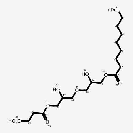 CCCCCCCCCCCCCCCCCC(=O)OCC(O)COCC(O)COC(=O)CCC(=O)O